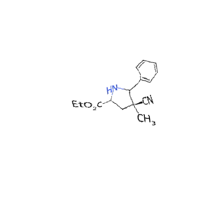 CCOC(=O)C1C[C@](C)(C#N)C(c2ccccc2)N1